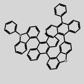 C=Cc1c(/C=C\C)c(-c2cccc3oc4ccc(-c5c6ccccc6c(-c6ccccc6)c6ccccc56)cc4c23)c2ccccc2c1-c1cccc2c1c1ccccc1n2-c1ccccc1